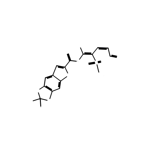 C=C/C=C\C(=C(/C)NC(=O)c1cc2cc3c(cc2o1)OC(F)(F)O3)S(C)(=O)=O